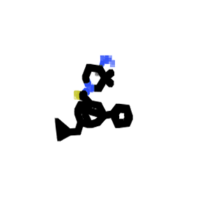 CC1(C)CN(C(=S)C23CC4CC(c5ccccc5)(CC(C2)C4CC2CC2)C3)CC[C@@H]1N